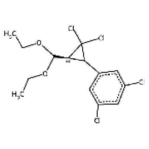 CCOC(OCC)[C@@H]1C(c2cc(Cl)cc(Cl)c2)C1(Cl)Cl